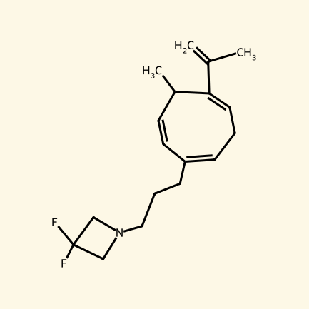 C=C(C)/C1=C/C/C=C(CCCN2CC(F)(F)C2)\C=C/C1C